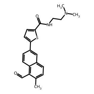 Cc1ccc2cc(-c3ccc(C(=O)NCCN(C)C)s3)ccc2c1C=O